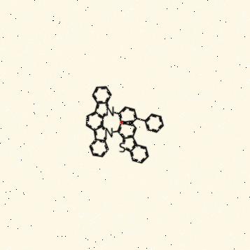 c1ccc(-c2ccc(-n3c4ccccc4c4ccc5c6ccccc6n(-c6cccc7c6sc6ccccc67)c5c43)cc2)cc1